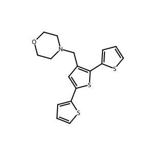 c1csc(-c2cc(CN3CCOCC3)c(-c3cccs3)s2)c1